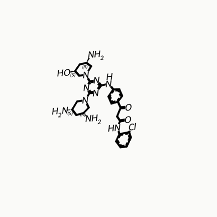 N[C@@H]1C[C@H](N)CN(c2nc(Nc3ccc(C(=O)CC(=O)Nc4ccccc4Cl)cc3)nc(N3C[C@H](N)C[C@H](O)C3)n2)C1